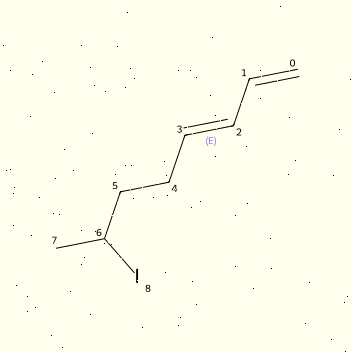 C=C/C=C/CCC(C)I